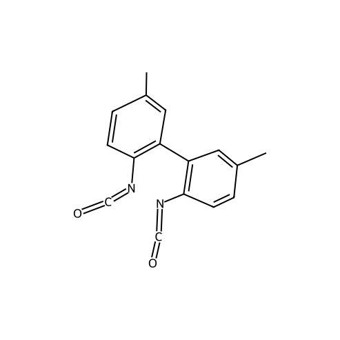 Cc1ccc(N=C=O)c(-c2cc(C)ccc2N=C=O)c1